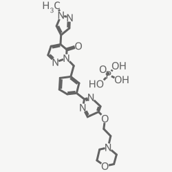 Cn1cc(-c2ccnn(Cc3cccc(-c4ncc(OCCN5CCOCC5)cn4)c3)c2=O)cn1.O=P(O)(O)O